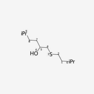 CC(C)CCSCC(O)CCC(C)C